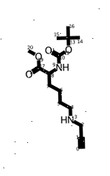 C#CCNCCCCC(NC(=O)OC(C)(C)C)C(=O)OC